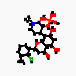 Bc1cccc(-c2cc(=O)c3c(O)cc(O)c(C4CCN(C)CC4OP(=O)(O)O)c3o2)c1Cl